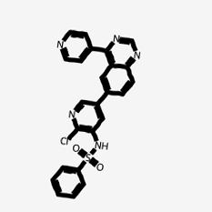 O=S(=O)(Nc1cc(-c2ccc3ncnc(-c4ccncc4)c3c2)cnc1Cl)c1ccccc1